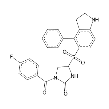 O=C1NC(S(=O)(=O)c2ccc3c(c2-c2ccccc2)CCN3)CN1C(=O)c1ccc(F)cc1